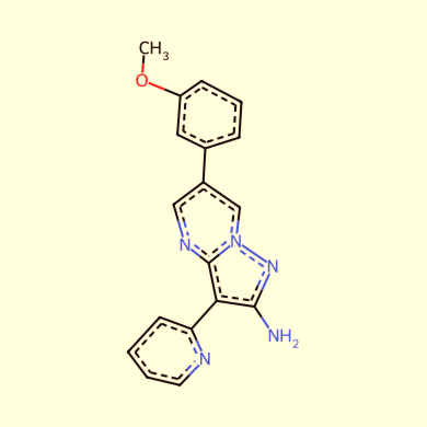 COc1cccc(-c2cnc3c(-c4ccccn4)c(N)nn3c2)c1